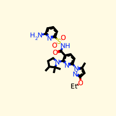 CCOc1cc(C)n(-c2ccc(C(=O)NS(=O)(=O)c3cccc(N)n3)c(N3CCC(C)C3(C)C)n2)n1